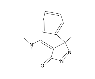 CN(C)C=C1C(=O)N=NC1(C)c1ccccc1